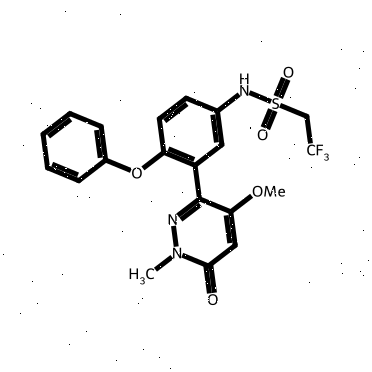 COc1cc(=O)n(C)nc1-c1cc(NS(=O)(=O)CC(F)(F)F)ccc1Oc1ccccc1